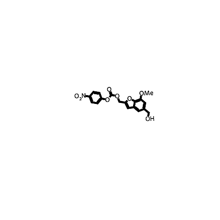 COc1cc(CO)cc2cc(COC(=O)Oc3ccc([N+](=O)[O-])cc3)oc12